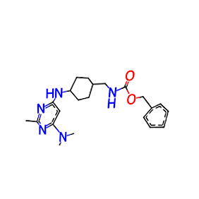 Cc1nc(NC2CCC(CNC(=O)OCc3ccccc3)CC2)cc(N(C)C)n1